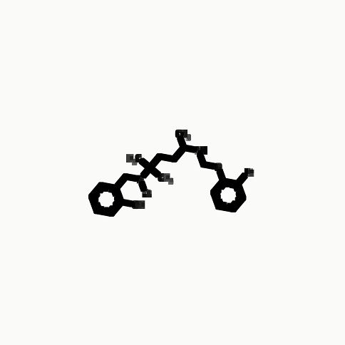 CCc1ccccc1OCNC(C)CCC(C)(C)N(CC)Cc1ccccc1O